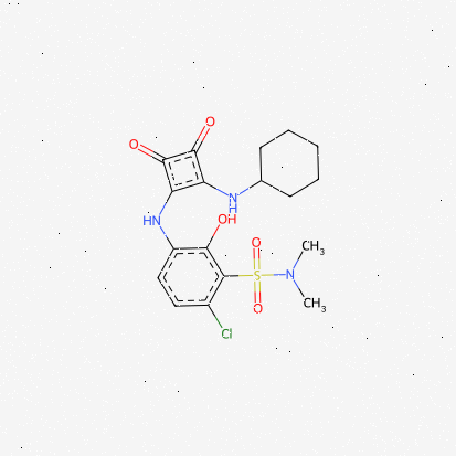 CN(C)S(=O)(=O)c1c(Cl)ccc(Nc2c(NC3CCCCC3)c(=O)c2=O)c1O